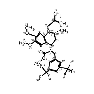 COC(=O)N(Cc1cc(C(F)(F)F)cc(C(F)(F)F)c1)[C@H]1C[C@@H](C)N(CC(C)C)c2cc(OC)c(OC)cc21